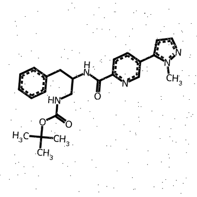 Cn1nccc1-c1ccc(C(=O)NC(CNC(=O)OC(C)(C)C)Cc2ccccc2)nc1